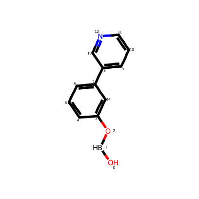 OBOc1cccc(-c2cccnc2)c1